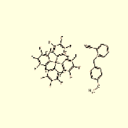 COc1ccc(C[n+]2ccccc2C#N)cc1.Fc1c(F)c(F)c([B-](c2c(F)c(F)c(F)c(F)c2F)(c2c(F)c(F)c(F)c(F)c2F)c2c(F)c(F)c(F)c(F)c2F)c(F)c1F